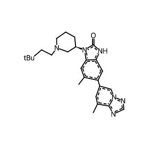 Cc1cc2c(cc1-c1cc(C)c3ncnn3c1)[nH]c(=O)n2[C@@H]1CCCN(CCC(C)(C)C)C1